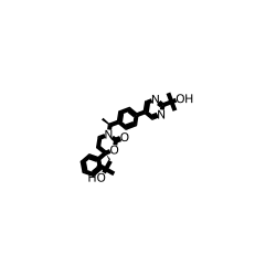 C[C@@H](c1ccc(-c2cnc(C(C)(C)O)nc2)cc1)N1CC[C@](CC(C)(C)O)(c2ccccc2)OC1=O